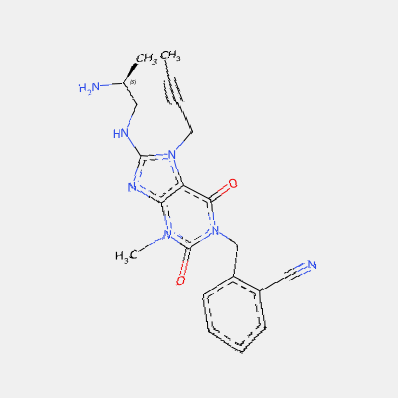 CC#CCn1c(NC[C@H](C)N)nc2c1c(=O)n(Cc1ccccc1C#N)c(=O)n2C